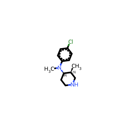 C[C@H]1CNCC[C@H]1N(C)c1ccc(Cl)cc1